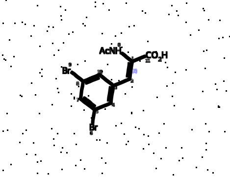 CC(=O)N/C(=C\c1cc(Br)cc(Br)c1)C(=O)O